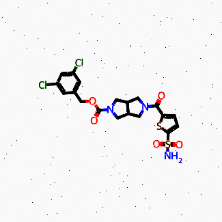 NS(=O)(=O)c1ccc(C(=O)N2CC3CN(C(=O)OCc4cc(Cl)cc(Cl)c4)CC3C2)s1